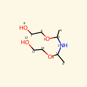 CC(NC(C)OCCO)OCCO